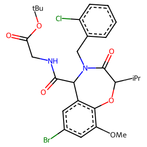 COc1cc(Br)cc2c1OC(C(C)C)C(=O)N(Cc1ccccc1Cl)C2C(=O)NCC(=O)OC(C)(C)C